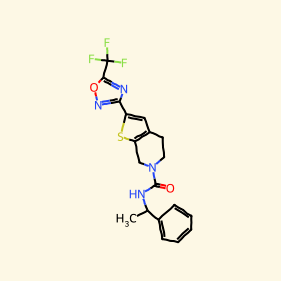 CC(NC(=O)N1CCc2cc(-c3noc(C(F)(F)F)n3)sc2C1)c1ccccc1